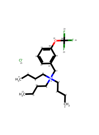 CCCC[N+](CCCC)(CCCC)Cc1cccc(OC(F)(F)F)c1.[Cl-]